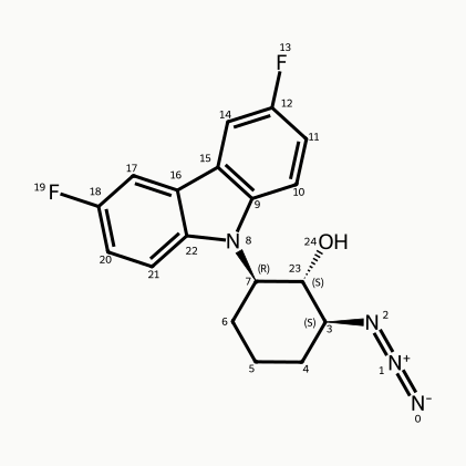 [N-]=[N+]=N[C@H]1CCC[C@@H](n2c3ccc(F)cc3c3cc(F)ccc32)[C@@H]1O